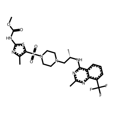 COC(=O)Nc1nc(C)c(S(=O)(=O)N2CCN(C[C@H](C)Nc3nc(C)nc4c(C(F)(F)F)cccc34)CC2)s1